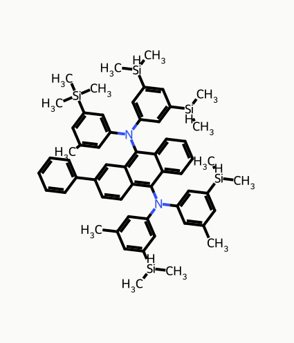 Cc1cc(N(c2cc(C)cc([SiH](C)C)c2)c2c3ccccc3c(N(c3cc([SiH](C)C)cc([SiH](C)C)c3)c3cc(C)cc([Si](C)(C)C)c3)c3cc(-c4ccccc4)ccc23)cc([SiH](C)C)c1